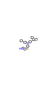 C1=Cc2c(cc(-c3ccc(N(c4ccc(-c5ccccc5)cc4)c4ccc5sc6ccc7[nH]ccc7c6c5c4)cc3)c3ccccc23)CC1